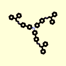 C(/C=C/c1ccc(-c2ccc(N(c3ccc(-c4ccc(/C=C/C=C(c5ccccc5)c5ccccc5)cc4)cc3)c3ccc(-c4ccc(/C=C/C=C(c5ccccc5)c5ccccc5)cc4)cc3)cc2)cc1)=C(c1ccccc1)c1ccccc1